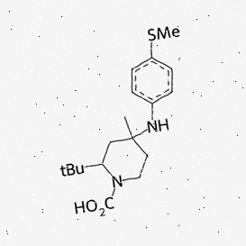 CSc1ccc(NC2(C)CCN(C(=O)O)C(C(C)(C)C)C2)cc1